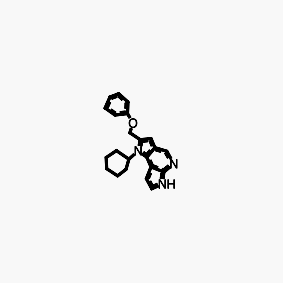 c1ccc(OCc2cc3cnc4[nH]ccc4c3n2C2CCCCC2)cc1